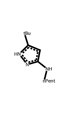 CCCCCNc1cc(C(C)(C)C)[nH]n1